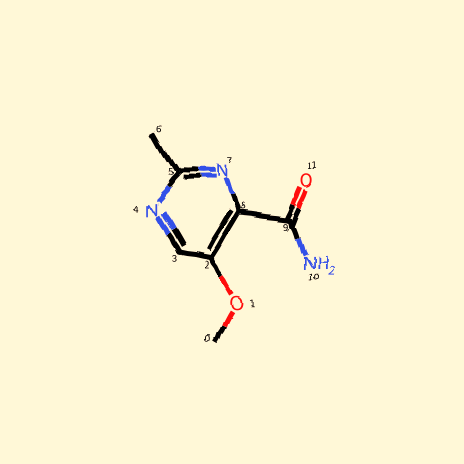 COc1cnc(C)nc1C(N)=O